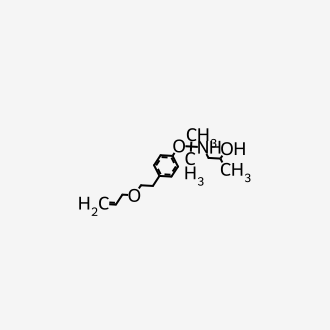 C=CCOCCc1ccc(OC(C)(C)NCC(C)O)cc1